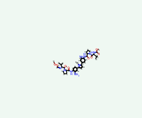 [2H]n1c(-c2ccc(NC(=O)C3CCCN3C(=O)C(/N=C\OOC)C(C)C)c(N)c2)ccc1-c1ccc(NC(=O)C2CCCN2C(=O)C(NC(=O)OC)C(C)C)c(N)c1